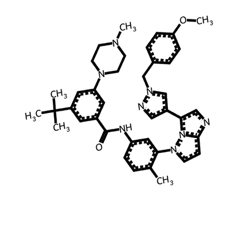 COc1ccc(Cn2cc(-c3cnc4ccn(-c5cc(NC(=O)c6cc(N7CCN(C)CC7)cc(C(C)(C)C)c6)ccc5C)n34)cn2)cc1